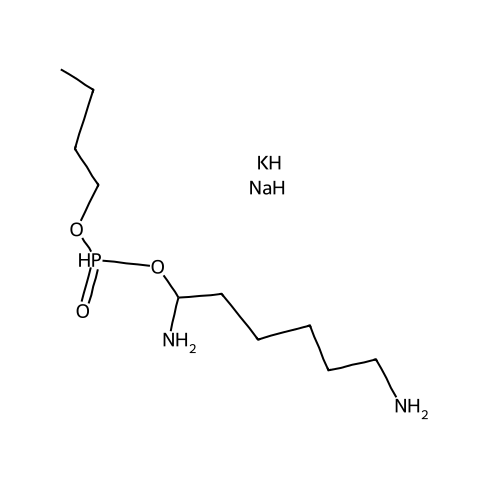 CCCCO[PH](=O)OC(N)CCCCCN.[KH].[NaH]